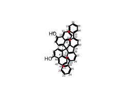 Oc1ccc(C2(c3ccc(O)c4ccccc34)c3cc(-c4ccccc4)ccc3-c3ccc(-c4ccccc4)cc32)c2ccccc12